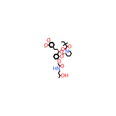 CCC(C)(C)C(=O)C(=O)N1CCCC[C@H]1C(=O)O[C@H](CCc1ccc(OC)c(OC)c1)c1cccc(OCC(=O)NCCC(C)O)c1